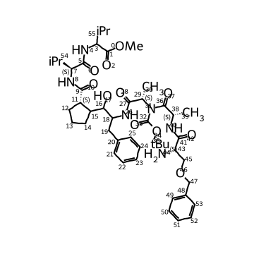 COC(=O)C(NC(=O)[C@@H](NC(=O)[C@H]1CCCC1C(O)C(Cc1ccccc1)NC(=O)[C@H](C)N(C(=O)OC(C)(C)C)C(=O)[C@H](C)NC(=O)[C@@H](N)COCc1ccccc1)C(C)C)C(C)C